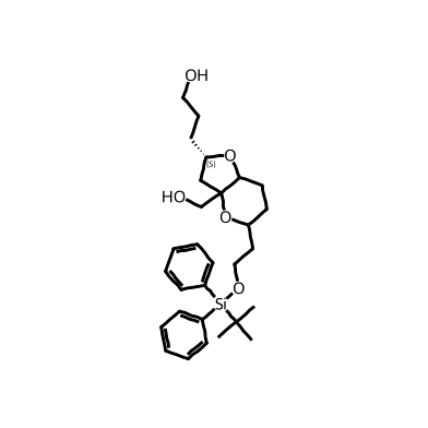 CC(C)(C)[Si](OCCC1CCC2O[C@@H](CCCO)CC2(CO)O1)(c1ccccc1)c1ccccc1